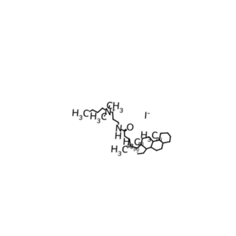 CCCC[N+](C)(C)CCCNC(=O)CC[C@@H](C)[C@H]1CCC2C3CCC4CCCC[C@]4(C)C3CC[C@@]21C.[I-]